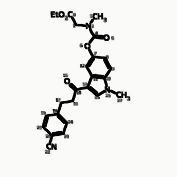 CCOC(=O)CN(C)C(=O)Oc1ccc2c(c1)c(C(=O)CCc1ccc(C#N)cc1)cn2C